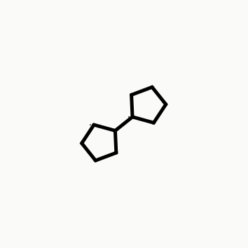 [CH]1CCCC1[C]1CCCC1